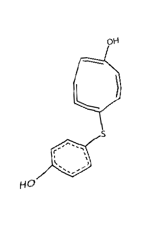 OC1=CC=C=C(Sc2ccc(O)cc2)C=C1